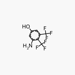 Nc1cc(O)cc(C(F)(F)F)c1C(F)(F)F